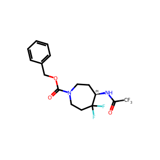 O=C(OCc1ccccc1)N1CC[C@@H](NC(=O)C(F)(F)F)C(F)(F)CC1